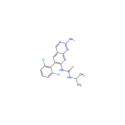 CC(C)NC(=O)Nc1nc2nc(N)ncc2cc1-c1c(Cl)cccc1Cl